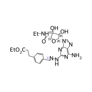 CCNC(=O)[C@H]1O[C@@H](n2cnc3c(N)nc(N/N=C/c4ccc(CCC(=O)OCC)cc4)nc32)[C@H](O)[C@@H]1O